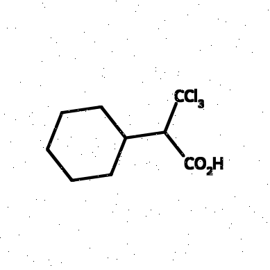 O=C(O)C(C1CCCCC1)C(Cl)(Cl)Cl